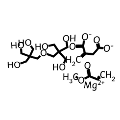 C=C(CC(=O)[O-])C(=O)[O-].C=CC(=O)OC.OCC(CO)(CO)COCC(CO)(CO)CO.[Mg+2]